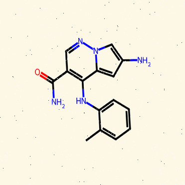 Cc1ccccc1Nc1c(C(N)=O)cnn2cc(N)cc12